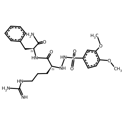 COc1ccc(S(=O)(=O)NN[C@@H](CCCNC(=N)N)C(=O)N[C@@H](Cc2ccccc2)C(N)=O)cc1OC